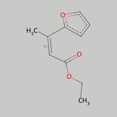 CCOC(=O)/C=C(/C)c1ccco1